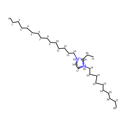 CCCCCCCCCCCCCCC[n+]1ccn(CCCCCCCCCC)c1CC